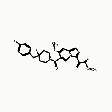 COC(=O)C(=O)c1ncc2cc(OC)c(C(=O)N3CCC(F)(Cc4ccc(F)cc4)CC3)cn12